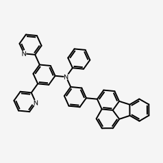 c1ccc(N(c2cc(-c3ccccn3)cc(-c3ccccn3)c2)c2cccc(-c3ccc4c5c(cccc35)-c3ccccc3-4)c2)cc1